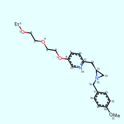 CCOCCOCCOc1ccc(C[C@H]2CN2Cc2ccc(OC)cc2)nc1